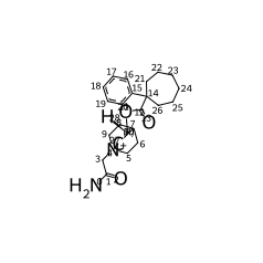 NC(=O)C[N+]12CCC(CC1)[C@@H](OC(=O)C1(c3ccccc3)CCCCCC1)C2